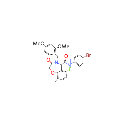 COc1ccc(CN2C(=O)COc3c(C)ccc(F)c3C2C(=O)Nc2ccc(Br)cc2)c(OC)c1